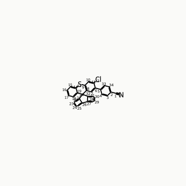 N#Cc1ccc(-c2cc3c(cc2Cl)Sc2ccccc2C32c3ccccc3-c3ccccc32)cc1